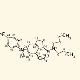 CCCCN(CCC)C(=O)[C@@H]1CCC2=C1[C@@H](C)c1cnn(-c3ccc(F)cc3)c1C2